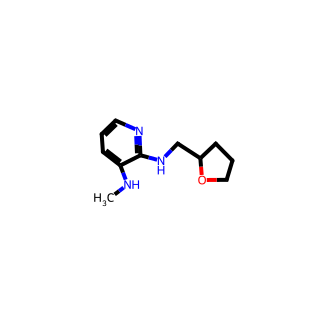 CNc1cccnc1NCC1CCCO1